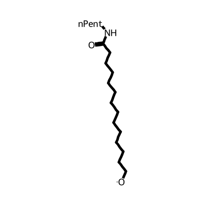 CCCCCNC(=O)CCCCCCCCCCCCC[O]